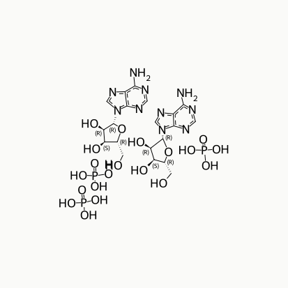 Nc1ncnc2c1ncn2[C@@H]1O[C@H](CO)[C@@H](O)[C@H]1O.Nc1ncnc2c1ncn2[C@@H]1O[C@H](CO)[C@@H](O)[C@H]1O.O=P(O)(O)O.O=P(O)(O)O.O=P(O)(O)O